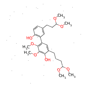 COc1c(-c2cc(CCC(OC)OC)ccc2O)cc(CCCC(OC)OC)c(O)c1OC